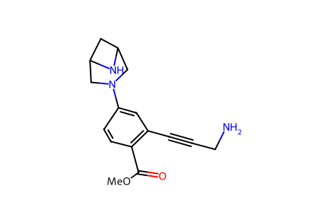 COC(=O)c1ccc(N2CC3CC(C2)N3)cc1C#CCN